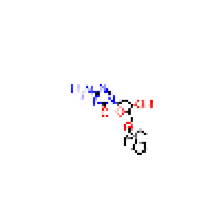 CC[Si](CC)(OC[C@H]1O[C@@H](n2cnc(N)nc2=O)C[C@@H]1O)C1CCCC1